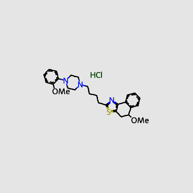 COc1ccccc1N1CCN(CCCCc2nc3c(s2)CC(OC)c2ccccc2-3)CC1.Cl